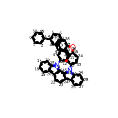 c1ccc(-c2cccc(-c3cccc(-n4c5ccccc5c5ccc6c7ccccc7n(-c7ccc8oc9ccccc9c8c7)c6c54)c3)c2)cc1